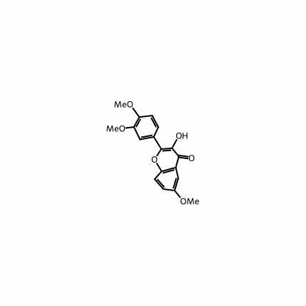 COc1ccc2oc(-c3ccc(OC)c(OC)c3)c(O)c(=O)c2c1